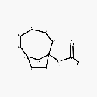 CC(=O)OC12CCCCCC(CC1)C2